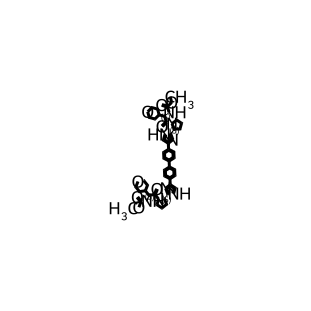 COC(=O)N[C@H](C(=O)N1CCC[C@H]1c1nc(-c2ccc(-c3ccc(-c4c[nH]c([C@@H]5CCCN5C(=O)[C@@H](NC(=O)OC)C5CCOCC5)n4)cc3)cc2)c[nH]1)C1CCOCC1